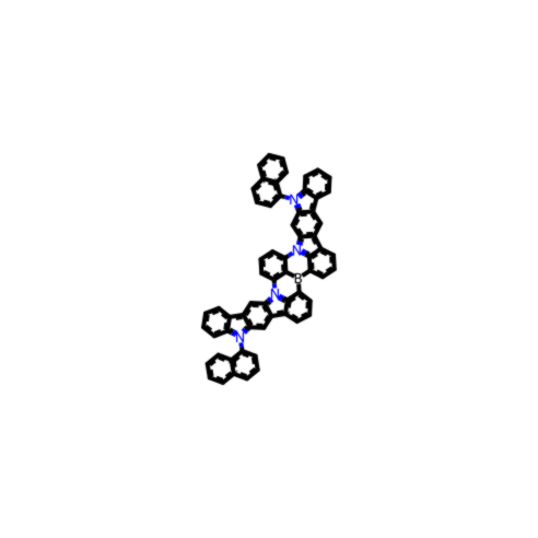 c1cc2c3c(c1)-n1c4cc5c(cc4c4cccc(c41)B3c1cccc3c4cc6c(cc4n-2c13)c1ccccc1n6-c1cccc2ccccc12)c1ccccc1n5-c1cccc2ccccc12